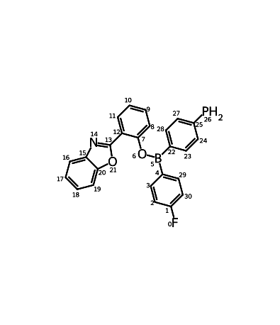 Fc1ccc(B(Oc2ccccc2-c2nc3ccccc3o2)c2ccc(P)cc2)cc1